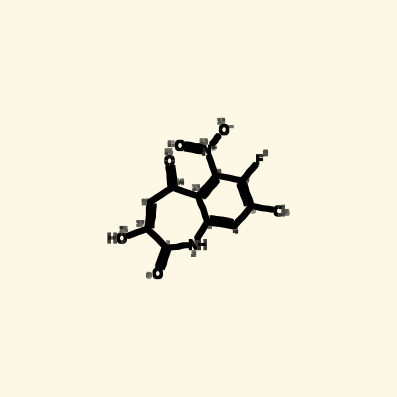 O=c1[nH]c2cc(Cl)c(F)c([N+](=O)[O-])c2c(=O)cc1O